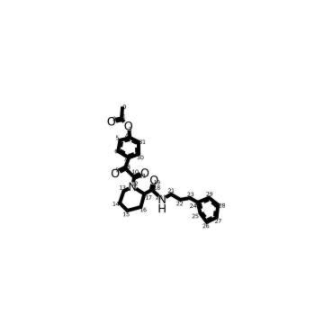 CC(=O)Oc1ccc(C(=O)C(=O)N2CCCCC2C(=O)NCCCc2ccccc2)cc1